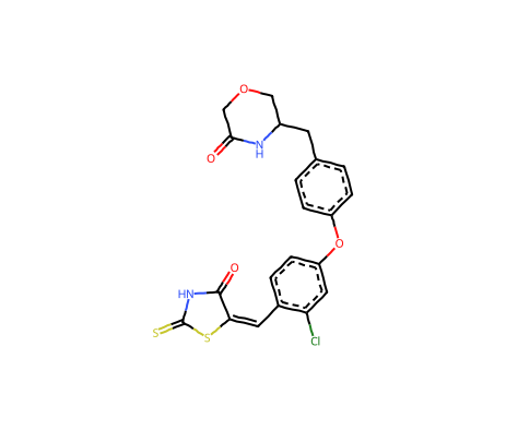 O=C1COCC(Cc2ccc(Oc3ccc(/C=C4/SC(=S)NC4=O)c(Cl)c3)cc2)N1